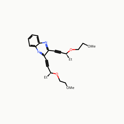 CC[C@@H](C#Cc1nc2ccccc2nc1C#C[C@H](CC)OCCOC)OCCOC